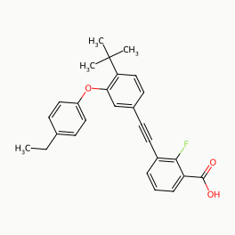 CCc1ccc(Oc2cc(C#Cc3cccc(C(=O)O)c3F)ccc2C(C)(C)C)cc1